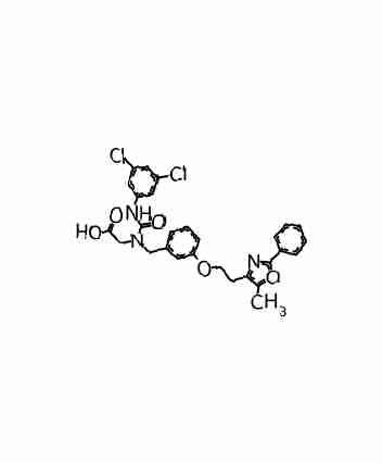 Cc1oc(-c2ccccc2)nc1CCOc1cccc(CN(CC(=O)O)C(=O)Nc2cc(Cl)cc(Cl)c2)c1